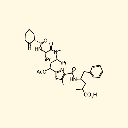 CC(=O)OC(CC(C(C)C)N(C)C(=O)C(NC(=O)[C@H]1CCCCN1)C(C)C)c1nc(C(=O)NC(Cc2ccccc2)CC(C)C(=O)O)c(C)s1